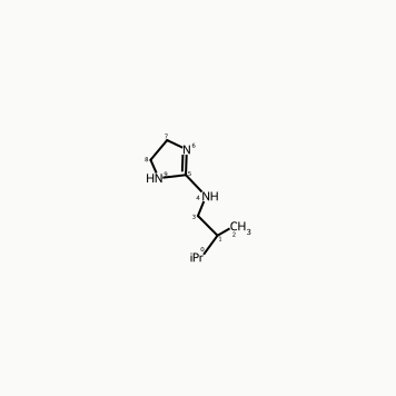 CC(C)C(C)CNC1=NCCN1